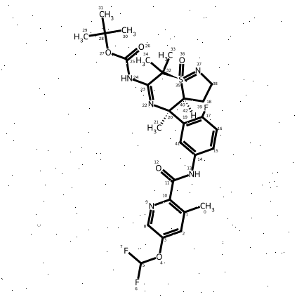 Cc1cc(OC(F)F)cnc1C(=O)Nc1ccc(F)c([C@@]2(C)N=C(NC(=O)OC(C)(C)C)C(C)(C)[S@@]3(=O)=NCC[C@@H]23)c1